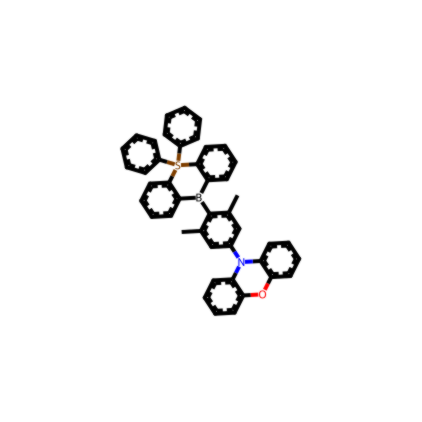 Cc1cc(N2c3ccccc3Oc3ccccc32)cc(C)c1B1c2ccccc2S(c2ccccc2)(c2ccccc2)c2ccccc21